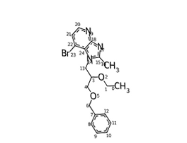 CCOC(COCc1ccccc1)Cn1c(C)nc2nccc(Br)c21